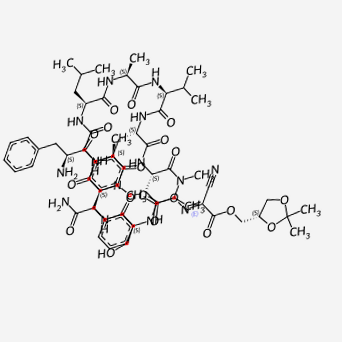 CC(C)C[C@H](NC(=O)CNC(=O)[C@H](Cc1ccccc1)N(C)C(=O)[C@H](C)NC(=O)[C@@H](N)Cc1ccccc1)C(=O)N[C@@H](C)C(=O)N[C@H](C(=O)N[C@@H](Cc1ccccc1)C(=O)N[C@@H](CC(=O)O/N=C(\C#N)C(=O)OC[C@@H]1COC(C)(C)O1)C(=O)N(C)C(C)C(=O)N[C@@H](CO)C(=O)NCC(N)=O)C(C)C